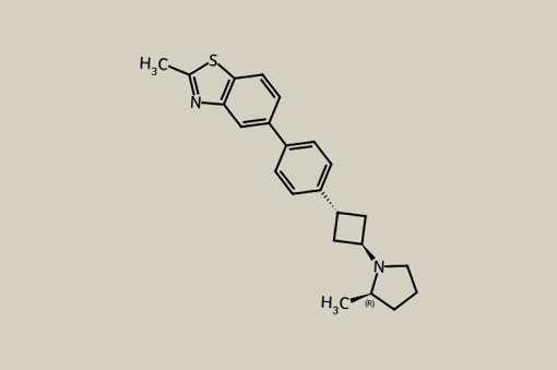 Cc1nc2cc(-c3ccc([C@H]4C[C@H](N5CCC[C@H]5C)C4)cc3)ccc2s1